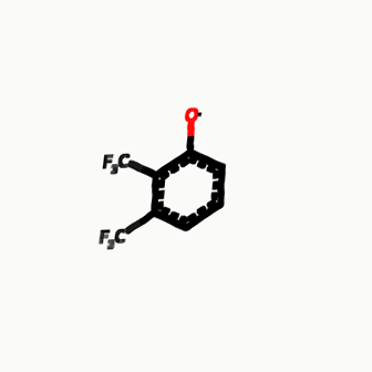 [O]c1cccc(C(F)(F)F)c1C(F)(F)F